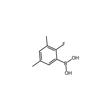 Cc1cc(C)c(F)c(B(O)O)c1